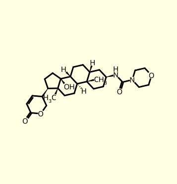 C[C@]12CC[C@H](NC(=O)N3CCOCC3)C[C@H]1CC[C@@H]1[C@@H]2CC[C@]2(C)[C@@H](C3C=CC(=O)OC3)CC[C@]12O